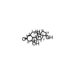 C[C@]12CC[C@H]3[C@@H](CCC4=CC(=O)C[C@@H](O)[C@@]43C)[C@@H]1CC[C@@H]2O